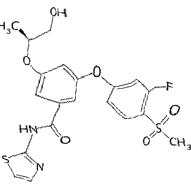 C[C@@H](CO)Oc1cc(Oc2ccc(S(C)(=O)=O)c(F)c2)cc(C(=O)Nc2nccs2)c1